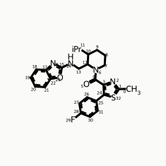 Cc1nc(C(=O)N2CCCC(C(C)C)C2CNc2nc3ccccc3o2)c(-c2ccc(F)cc2)s1